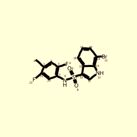 Cc1cc(F)c(NS(=O)(=O)c2c[nH]c3c(Br)cccc23)cc1F